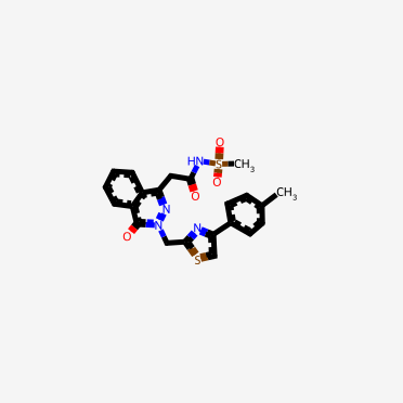 Cc1ccc(-c2csc(Cn3nc(CC(=O)NS(C)(=O)=O)c4ccccc4c3=O)n2)cc1